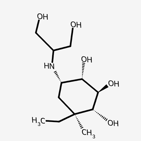 CC[C@@]1(C)C[C@H](NC(CO)CO)[C@H](O)[C@@H](O)[C@@H]1O